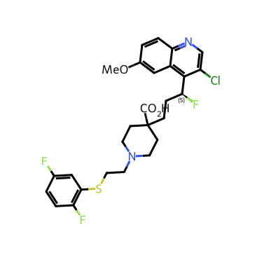 COc1ccc2ncc(Cl)c([C@@H](F)CCC3(C(=O)O)CCN(CCSc4cc(F)ccc4F)CC3)c2c1